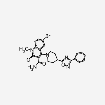 Cn1c(=O)c(C(N)=O)c(N2CCC(c3nc(-c4ccccc4)no3)CC2)c2cc(Br)ccc21